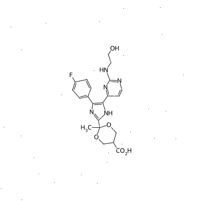 CC1(c2nc(-c3ccc(F)cc3)c(-c3ccnc(NCCO)n3)[nH]2)OCC(C(=O)O)CO1